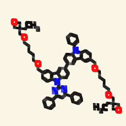 CCC1(COCCCCCOCc2ccc3c(c2)c2cc(-c4ccc5c(c4)c4cc(COCCCCCOCC6(CC)COC6)ccc4n5-c4nc(-c5ccccc5)cc(-c5ccccc5)n4)ccc2n3-c2ccccc2)COC1